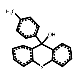 Cc1ccc(C2(O)c3ccccc3Sc3ccccc32)cc1